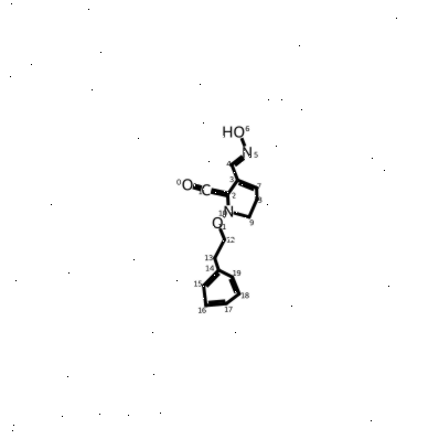 O=C=C1C(C=NO)=CCCN1OCCc1ccccc1